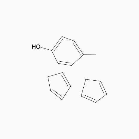 C1=CCC=C1.C1=CCC=C1.Cc1ccc(O)cc1